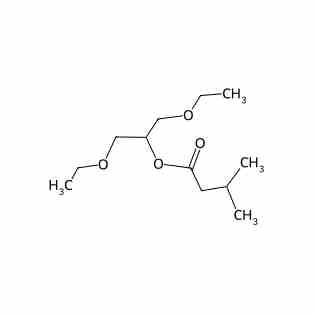 CCOCC(COCC)OC(=O)CC(C)C